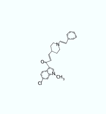 Cn1cc(C(=O)C=CC2CCN(C=Cc3ccccc3)CC2)c2ccc(Cl)cc21